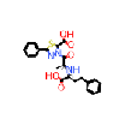 C[C@H](N[C@@H](CCc1ccccc1)C(=O)O)C(=O)N1N=C(c2ccccc2)SC1C(=O)O